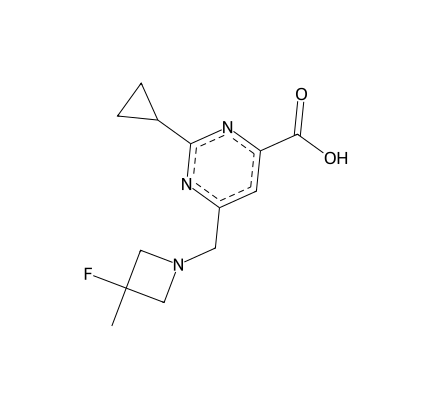 CC1(F)CN(Cc2cc(C(=O)O)nc(C3CC3)n2)C1